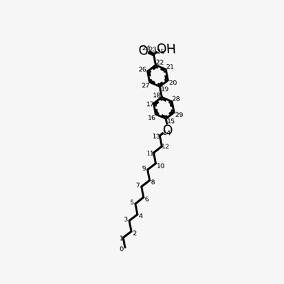 CCCCCCCCCCCCCCOc1ccc(-c2ccc(C(=O)O)cc2)cc1